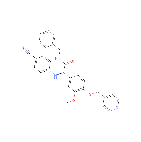 COc1cc([C@@H](Nc2ccc(C#N)cc2)C(=O)NCc2ccccc2)ccc1OCc1ccncc1